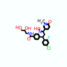 Cn1cc(C(CC(c2ccc(C(=O)NCC(O)CO)cc2)c2ccc(Cl)cc2F)=NO)ccc1=O